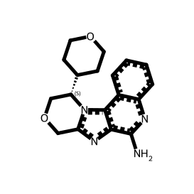 Nc1nc2ccccc2c2c1nc1n2[C@@H](C2CCOCC2)COC1